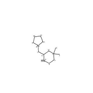 CC1(C)CCNC(CN2CCCC2)C1